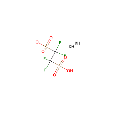 O=S(=O)(O)C(F)(F)C(F)(F)S(=O)(=O)O.[KH].[KH]